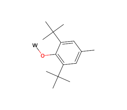 Cc1cc(C(C)(C)C)c([O][W])c(C(C)(C)C)c1